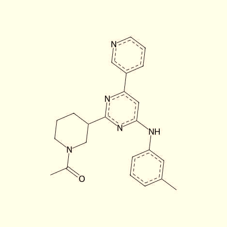 CC(=O)N1CCCC(c2nc(Nc3cccc(C)c3)cc(-c3cccnc3)n2)C1